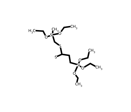 CCO[Si](C)(CSC([S])CC[Si](OCC)(OCC)OCC)OCC